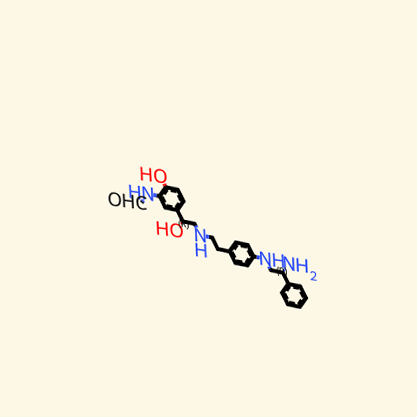 N[C@@H](CNc1ccc(CCNC[C@H](O)c2ccc(O)c(NC=O)c2)cc1)c1ccccc1